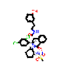 CS(=O)(=O)N[C@H]1CCCC[C@@H]1N1C(=O)c2ccccc2[C@@H](C(=O)NCCc2cccc(O)c2)[C@@H]1c1ccc(Cl)cc1Cl